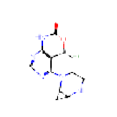 C[C@@H]1OC(=O)Nc2ncnc(N3CCNC4CC43)c21.Cl